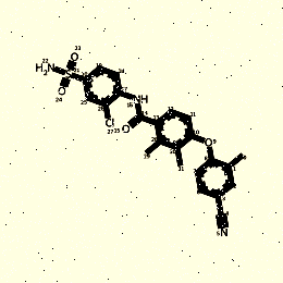 Cc1cc(C#N)ccc1Oc1ccc(C(=O)Nc2ccc(S(N)(=O)=O)cc2Cl)c(C)c1C